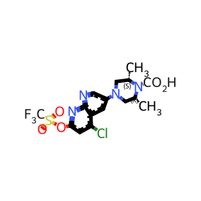 C[C@@H]1CN(c2cnc3nc(OS(=O)(=O)C(F)(F)F)cc(Cl)c3c2)C[C@H](C)N1C(=O)O